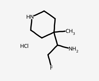 CC1(C(N)CF)CCNCC1.Cl